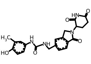 Cc1cc(NC(=O)NCc2ccc3c(c2)CN(C2CCC(=O)NC2=O)C3=O)ccc1O